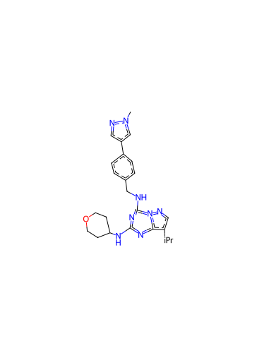 CC(C)c1cnn2c(NCc3ccc(-c4cnn(C)c4)cc3)nc(NC3CCOCC3)nc12